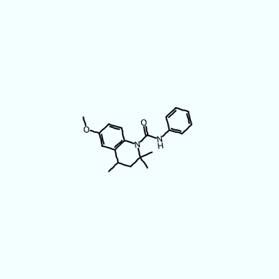 COc1ccc2c(c1)C(C)CC(C)(C)N2C(=O)Nc1ccccc1